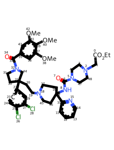 CCOC(=O)CN1CCN(C(=O)NC2(c3ccccn3)CCN(CCC3(c4ccc(Cl)c(Cl)c4)CCN(C(=O)c4cc(OC)c(OC)c(OC)c4)C3)CC2)CC1